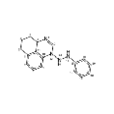 C1=NC2CCCc3cccc(c32)N1NNc1ccccc1